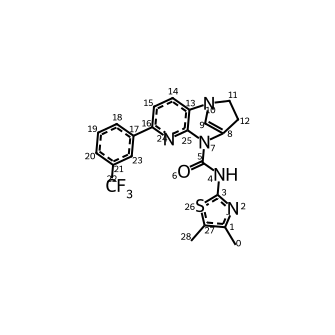 Cc1nc(NC(=O)N2C3=CN(CC3)c3ccc(-c4cccc(C(F)(F)F)c4)nc32)sc1C